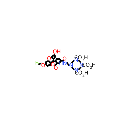 O=C(NCCN1CCN(C(=O)O)CCN(C(=O)O)CCN(C(=O)O)CC1)c1ccc2c(c1)C(=O)OC21c2ccc(O)cc2Oc2cc(OCCF)ccc21